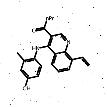 C=Cc1cccc2c(Nc3ccc(O)cc3C)c(C(=O)CCC)cnc12